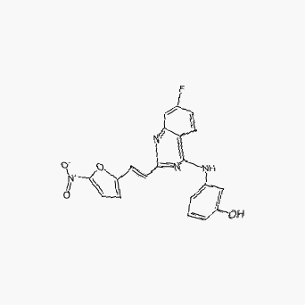 O=[N+]([O-])c1ccc(C=Cc2nc(Nc3cccc(O)c3)c3ccc(F)cc3n2)o1